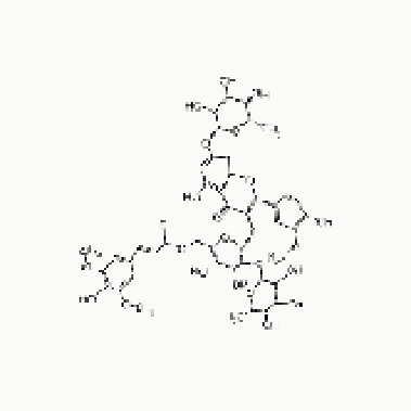 COc1cc(-c2oc3cc(O[C@@H]4OC(C)[C@H](O)C(O)C4O)cc(O)c3c(=O)c2O[C@@H]2OC(COC(=O)/C=C/c3cc(OC)c(O)c(OC)c3)[C@@H](O)C(O)C2O[C@@H]2OC(C)[C@H](O)C(O)C2O)ccc1O